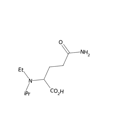 CCN(C(C)C)C(CCC(N)=O)C(=O)O